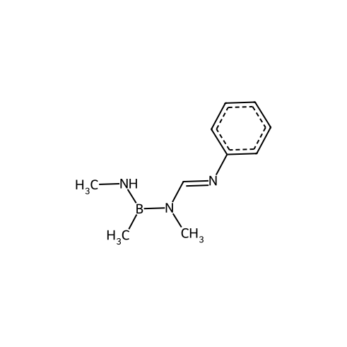 CNB(C)N(C)/C=N/c1ccccc1